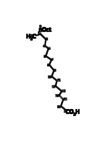 CCCCCCCCC(C)CCCCCCCCCCCCCCC(=O)O